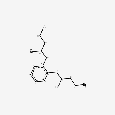 BrCCC(Br)Cc1ccccc1CC(Br)CCBr